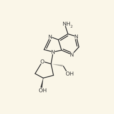 Nc1ncnc2c1ncn2[C@@]1(CO)C[C@@H](O)CO1